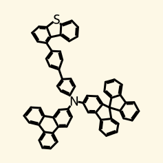 c1ccc2c(c1)-c1ccccc1C21c2ccccc2-c2cc(N(c3ccc(-c4ccc(-c5cccc6sc7ccccc7c56)cc4)cc3)c3ccc4c5ccccc5c5ccccc5c4c3)ccc21